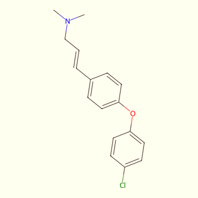 CN(C)CC=Cc1ccc(Oc2ccc(Cl)cc2)cc1